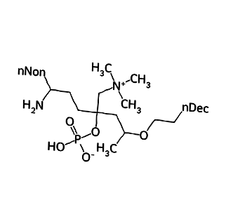 CCCCCCCCCCCCOC(C)CC(CCC(N)CCCCCCCCC)(C[N+](C)(C)C)OP(=O)([O-])O